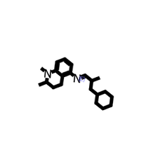 CC(/C=N/c1cccc2c1CCC(C)N2C)CC1CCCCC1